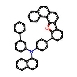 c1ccc(-c2cccc(N(c3ccc(-c4cccc5c4oc4c5ccc5ccc6ccccc6c54)cc3)c3cccc4ccccc34)c2)cc1